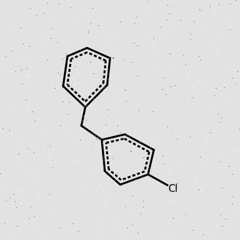 Clc1ccc(Cc2c[c]ccc2)cc1